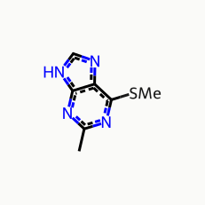 CSc1nc(C)nc2[nH]cnc12